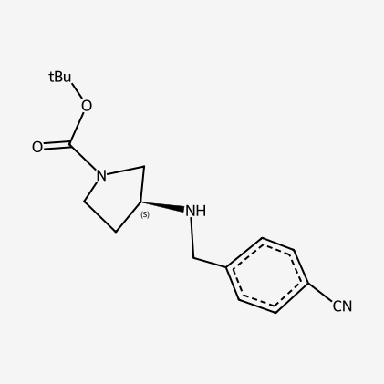 CC(C)(C)OC(=O)N1CC[C@H](NCc2ccc(C#N)cc2)C1